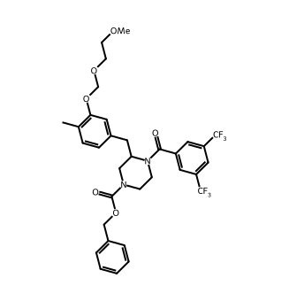 COCCOCOc1cc(CC2CN(C(=O)OCc3ccccc3)CCN2C(=O)c2cc(C(F)(F)F)cc(C(F)(F)F)c2)ccc1C